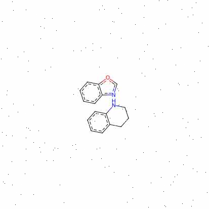 c1ccc2c(c1)CCCN2.c1ccc2ocnc2c1